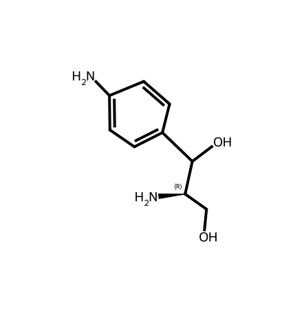 Nc1ccc(C(O)[C@H](N)CO)cc1